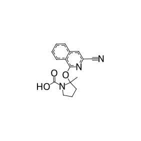 CC1(Oc2nc(C#N)cc3ccccc23)CCCN1C(=O)O